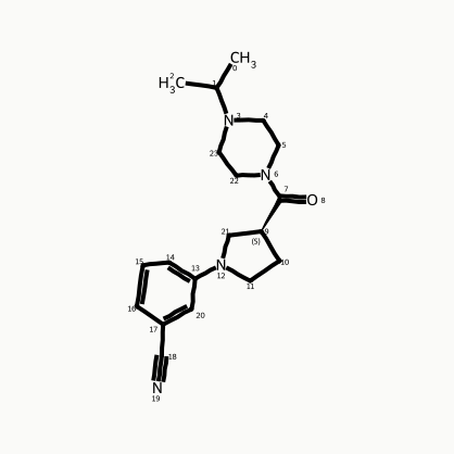 CC(C)N1CCN(C(=O)[C@H]2CCN(c3cccc(C#N)c3)C2)CC1